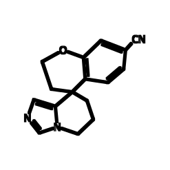 N#Cc1ccc2c(c1)OCCC21CCCn2cncc21